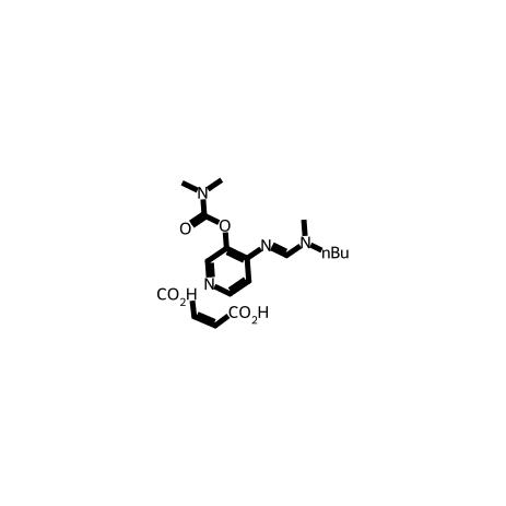 CCCCN(C)C=Nc1ccncc1OC(=O)N(C)C.O=C(O)/C=C\C(=O)O